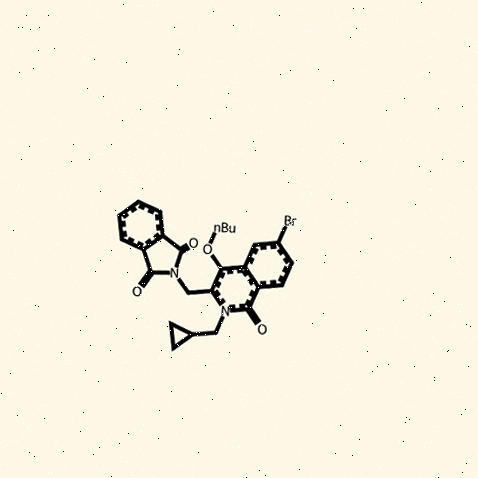 CCCCOc1c(CN2C(=O)c3ccccc3C2=O)n(CC2CC2)c(=O)c2ccc(Br)cc12